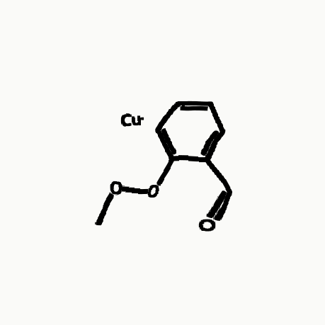 COOc1ccccc1C=O.[Cu]